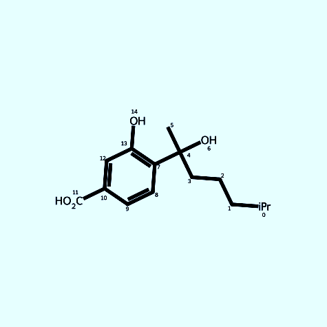 CC(C)CCCC(C)(O)c1ccc(C(=O)O)cc1O